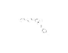 COc1ccc(C=Cc2nc(C3=COC(C4=CC=CCC4)=CO3)c[nH]2)cc1